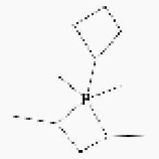 CC1CC(C)P1(C)(C)C1CCC1